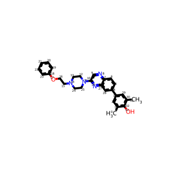 Cc1cc(-c2ccc3ncc(N4CCN(CCOc5ccccc5)CC4)nc3c2)cc(C)c1O